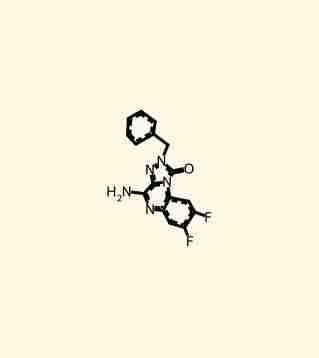 Nc1nc2cc(F)c(F)cc2n2c(=O)n(Cc3ccccc3)nc12